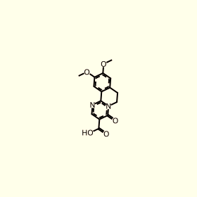 COc1cc2c(cc1OC)-c1ncc(C(=O)O)c(=O)n1CC2